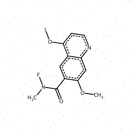 COc1cc2nccc(OI)c2cc1C(=O)N(C)F